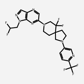 FC(F)Cn1ncc2ncc(N3CCC4(CCN(c5ccc(C(F)(F)F)nc5)C4)C(F)(F)C3)nc21